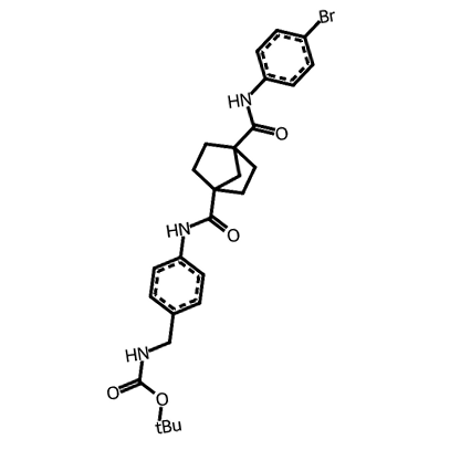 CC(C)(C)OC(=O)NCc1ccc(NC(=O)C23CCC(C(=O)Nc4ccc(Br)cc4)(CC2)C3)cc1